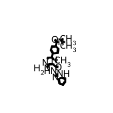 CN(C)C(=O)c1ccc(C2C=NC(N)=C(C(=O)Nc3nc4ccccc4[nH]3)N2C)cc1